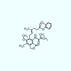 COc1c(C)c2c(c(NC(=O)N(C)C)c1C/C=C(\C)CCC(=O)Oc1ccccc1Cl)C(=O)OC2